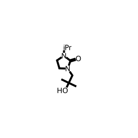 CC(C)N1CCN(CC(C)(C)O)C1=O